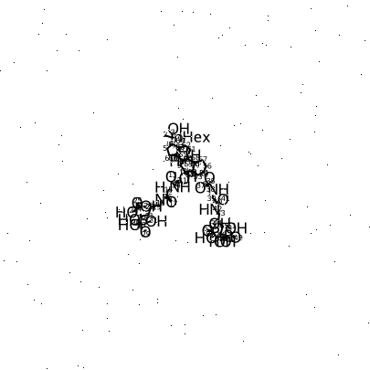 CCCCCCC(C)(O)[C@H]1CC[C@H]2[C@@H]3C[C@H](OC(=O)NCC(=O)NCCCC(O)(P(=O)(O)O)P(=O)(O)O)[C@H]4C[C@@H](OC(=O)NCC(=O)NCCCC(O)(P(=O)(O)O)P(=O)(O)O)CC[C@]4(C)[C@H]3CC[C@]12C